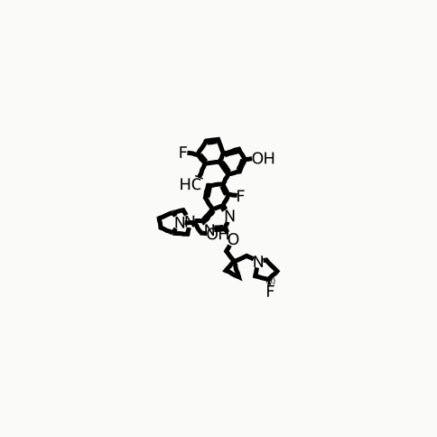 C#Cc1c(F)ccc2cc(O)cc(-c3ccc4c(N5CC6CCC(C5)N6CCO)nc(OCC5(CN6CC[C@@H](F)C6)CC5)nc4c3F)c12